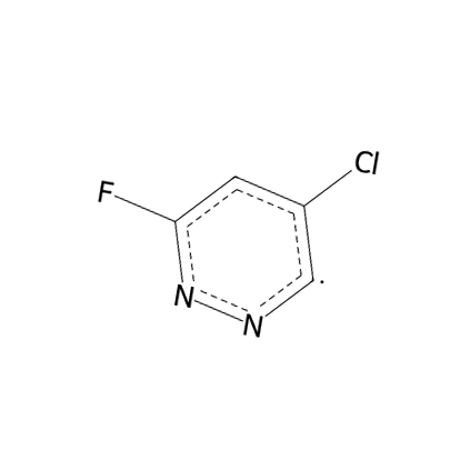 Fc1cc(Cl)[c]nn1